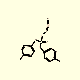 Cc1ccc(OP(=O)(ON=[N+]=[N-])Oc2ccc(C)cc2)cc1